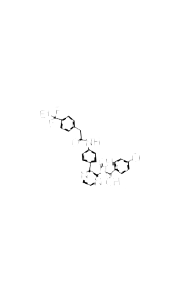 CCC(F)(F)c1ccc(CC(=O)Nc2ccc(-c3nccnc3N(C)[C@@H](C)c3ccc(Cl)cc3)cc2)cc1